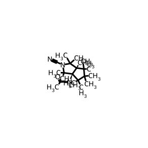 CC(=O)N(C)[C@@]12C(C)(C)N(C#N)C(C)(C)[C@]1(C)C(C)(C)C(C)(C)C2(C)C